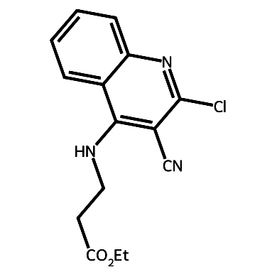 CCOC(=O)CCNc1c(C#N)c(Cl)nc2ccccc12